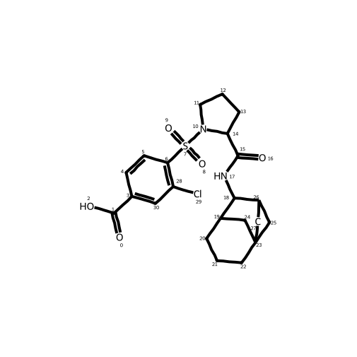 O=C(O)c1ccc(S(=O)(=O)N2CCCC2C(=O)NC2C3CCCC4(C3)CC2C4)c(Cl)c1